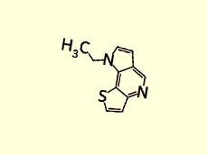 CCn1ccc2cnc3ccsc3c21